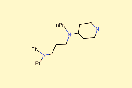 CCCN(CCCN(CC)CC)C1CC[N]CC1